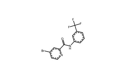 O=C(Nc1cccc(C(F)(F)F)c1)c1cc(Br)ccn1